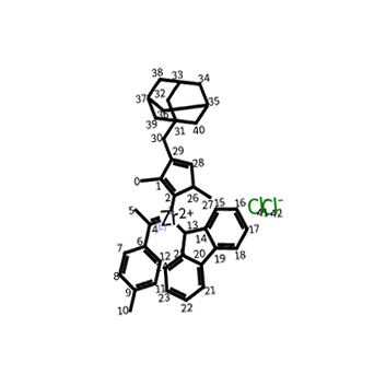 CC1=[C](/[Zr+2](=[C](\C)c2ccc(C)cc2)[CH]2c3ccccc3-c3ccccc32)C(C)C=C1CC12CC3CC(CC(C3)C1)C2.[Cl-].[Cl-]